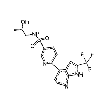 C[C@@H](O)CNS(=O)(=O)c1ccc(-c2ccnc3[nH]c(C(F)(F)F)cc23)nc1